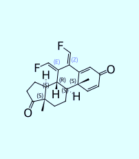 C[C@]12C=CC(=O)C=C1C(=C/F)/C(=C/F)[C@@H]1[C@@H]2CC[C@]2(C)C(=O)CC[C@@H]12